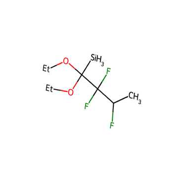 CCOC([SiH3])(OCC)C(F)(F)C(C)F